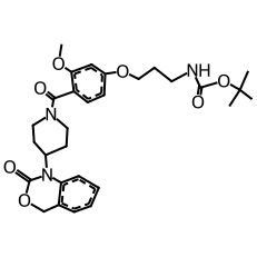 COc1cc(OCCCNC(=O)OC(C)(C)C)ccc1C(=O)N1CCC(N2C(=O)OCc3ccccc32)CC1